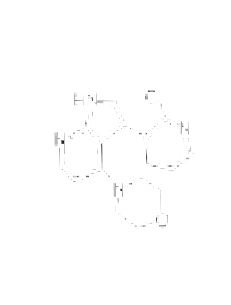 Clc1ncccc1-c1c[nH]c2nccc(N3CCOCC3)c12